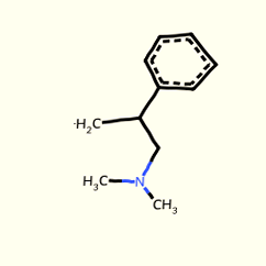 [CH2]C(CN(C)C)c1ccccc1